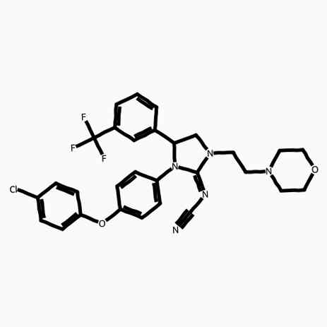 N#CN=C1N(CCN2CCOCC2)CC(c2cccc(C(F)(F)F)c2)N1c1ccc(Oc2ccc(Cl)cc2)cc1